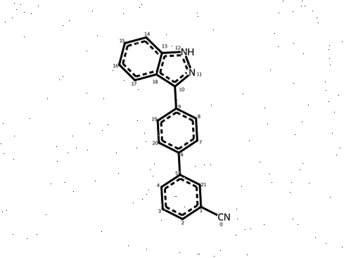 N#Cc1cccc(-c2ccc(-c3n[nH]c4ccccc34)cc2)c1